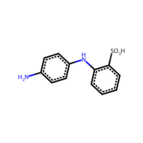 Nc1ccc(Nc2ccccc2S(=O)(=O)O)cc1